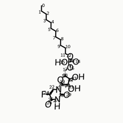 CCCCCCCCCCCCOP(=O)(O)OC[C@H]1O[C@@H](n2cc(F)c(=O)[nH]c2=O)[C@H](O)[C@@H]1O